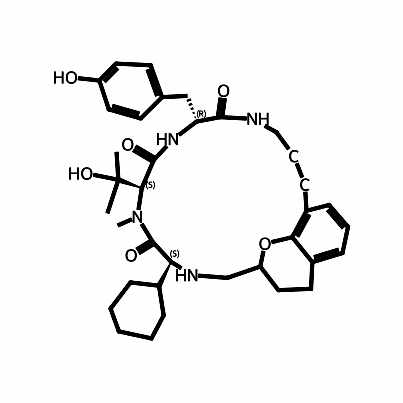 CN1C(=O)[C@H](C2CCCCC2)NCC2CCc3cccc(c3O2)CCCNC(=O)[C@@H](Cc2ccc(O)cc2)NC(=O)[C@@H]1C(C)(C)O